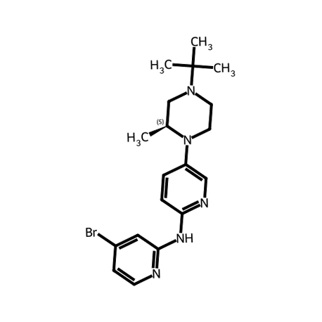 C[C@H]1CN(C(C)(C)C)CCN1c1ccc(Nc2cc(Br)ccn2)nc1